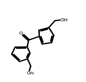 O=C(c1cccc(CO)c1)c1cccc(CO)c1